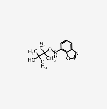 CC(C)(O)C(C)(C)OBc1cccc2ncoc12